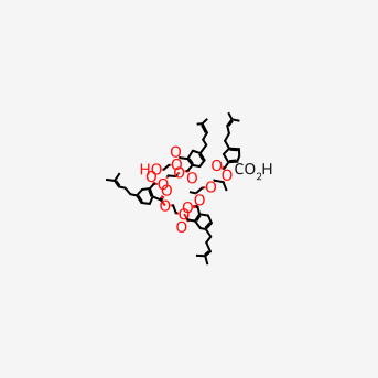 CC(C)=CCCC1=CCC(C(=O)O)=C(C(=O)OC(C)COCC(C)OC(=O)C2=C(C(=O)OCCOC(=O)C3=C(C(=O)OCCOC(=O)C4=C(C(=O)OCCO)CC(CCC=C(C)C)=CC4)CC(CCC=C(C)C)=CC3)CC(CCC=C(C)C)=CC2)C1